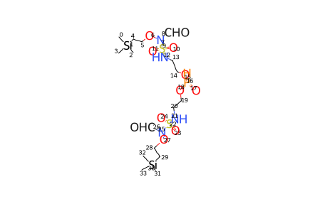 C[Si](C)(C)CCON(C=O)S(=O)(=O)NCCO[PH](=O)OCCNS(=O)(=O)N(C=O)OCC[Si](C)(C)C